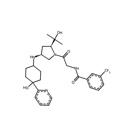 CC(C)(O)[C@@H]1C[C@H](NC2CCC(O)(c3ccccn3)CC2)CN1C(=O)CNC(=O)c1cccc(C(F)(F)F)c1